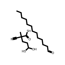 CC(C#N)(CCC(O)S)C(=O)S.CCCCCCCCCCCCC=O